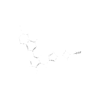 Cc1cc(-c2cnc(N)c(Oc3cnn([C@H]4C[C@H](C#N)C4)c3)n2)cc2c1CN(C)CC2